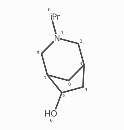 CC(C)N1CC2CC(O)C(C2)C1